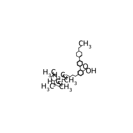 CCCC1CC=C(c2ccc(-c3cc(CCCC[Si](C)(C)CC[Si](C)(C)CC(C)C4CC=C(C)CC4)ccc3C(=O)O)cc2)CC1